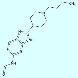 CCCCN1CCC(c2nc3ccc(NC=O)cc3[nH]2)CC1